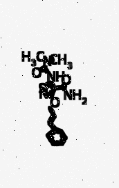 CN(C)C(=O)Nc1snc(OC/C=C/c2ccccc2)c1C(N)=O